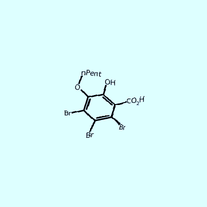 CCCCCOc1c(O)c(C(=O)O)c(Br)c(Br)c1Br